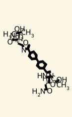 CC(C)(O)O[C@H](Cc1nc(-c2ccc(-c3ccc(-c4cnc([C@@H](CC(N)=O)OC(C)(C)O)[nH]4)cc3)cc2)co1)C(N)=O